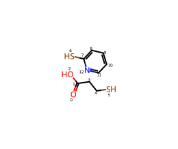 O=C(O)CCS.Sc1ccccn1